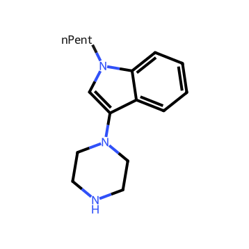 CCCCCn1cc(N2CCNCC2)c2ccccc21